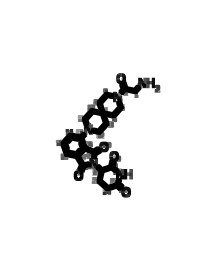 NCC(=O)N1CCC2(CC1)CCN(c1cccc3c1C(=O)N(C1CCC(=O)NC1=O)C3=O)CC2